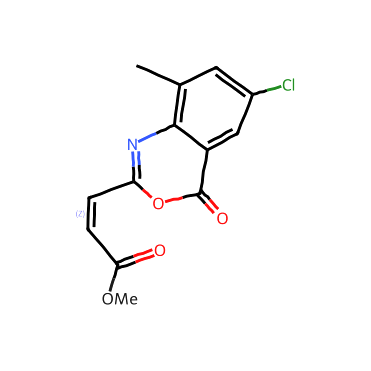 COC(=O)/C=C\c1nc2c(C)cc(Cl)cc2c(=O)o1